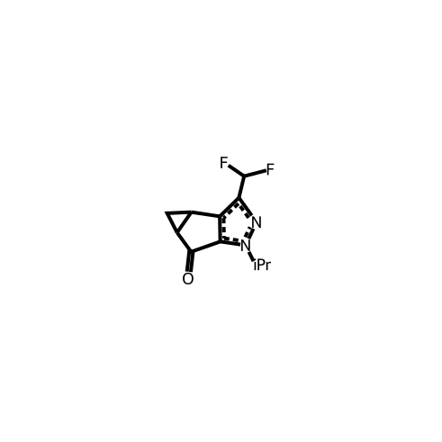 CC(C)n1nc(C(F)F)c2c1C(=O)C1CC21